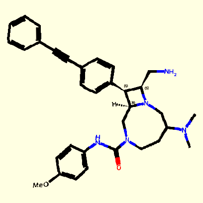 COc1ccc(NC(=O)N2CCC(N(C)C)CN3[C@H](CN)[C@H](c4ccc(C#Cc5ccccc5)cc4)[C@@H]3C2)cc1